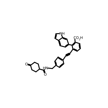 O=C1CCC(C(=O)NCc2ccc(C#Cc3cccc(C(=O)O)c3-c3ccc4cc[nH]c4c3)cc2)CC1